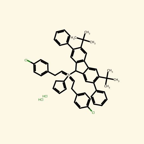 CC(C)(C)c1cc2c(cc1-c1ccccc1)[CH]([Zr](=[CH]Cc1ccc(Cl)cc1)(=[CH]Cc1ccc(Cl)cc1)[C]1=CC=CC1)c1cc(-c3ccccc3)c(C(C)(C)C)cc1-2.Cl.Cl